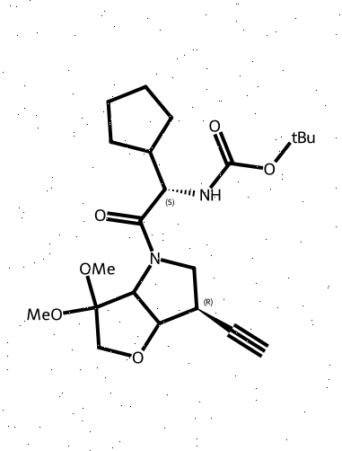 C#C[C@@H]1CN(C(=O)[C@@H](NC(=O)OC(C)(C)C)C2CCCC2)C2C1OCC2(OC)OC